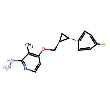 Cc1c(OC[C@H]2C[C@@H]2c2ccc(F)cc2)ccnc1NN